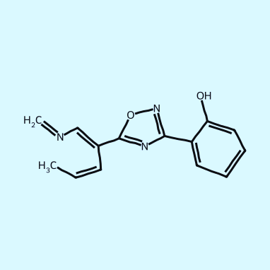 C=N/C=C(\C=C/C)c1nc(-c2ccccc2O)no1